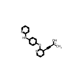 C[C@H](O)C#Cc1cccnc1Oc1ccc(Nc2ccccn2)cc1